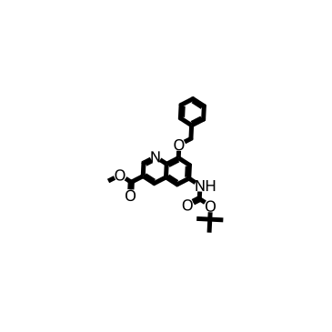 COC(=O)c1cnc2c(OCc3ccccc3)cc(NC(=O)OC(C)(C)C)cc2c1